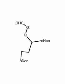 CCCCCCCCCCCCC(CCCCCCCCC)OO[C]=O